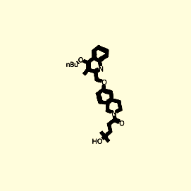 CCCCOc1c(C)c(COc2ccc3c(c2)CCN(C(=O)CCC(C)(C)O)C3)nc2ccccc12